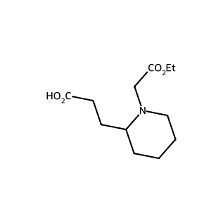 CCOC(=O)CN1CCCCC1CCC(=O)O